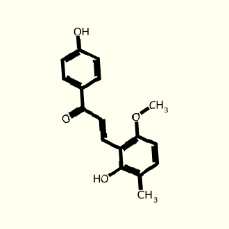 COc1ccc(C)c(O)c1C=CC(=O)c1ccc(O)cc1